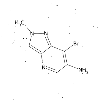 Cn1cc2ncc(N)c(Br)c2n1